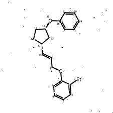 CCc1ccccc1OC/C=C/[C@H]1CC[C@@H](Oc2ccccc2)C1